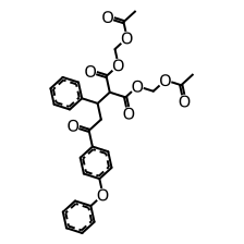 CC(=O)OCOC(=O)C(C(=O)OCOC(C)=O)C(CC(=O)c1ccc(Oc2ccccc2)cc1)c1ccccc1